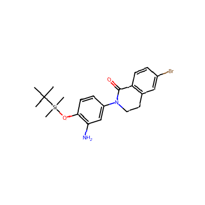 CC(C)(C)[Si](C)(C)Oc1ccc(N2CCc3cc(Br)ccc3C2=O)cc1N